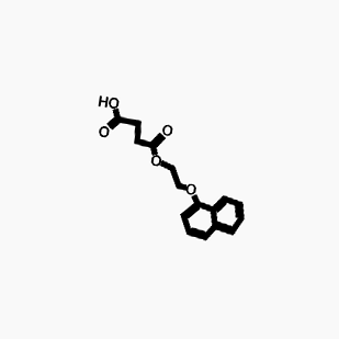 O=C(O)CCC(=O)OCCOc1cccc2ccccc12